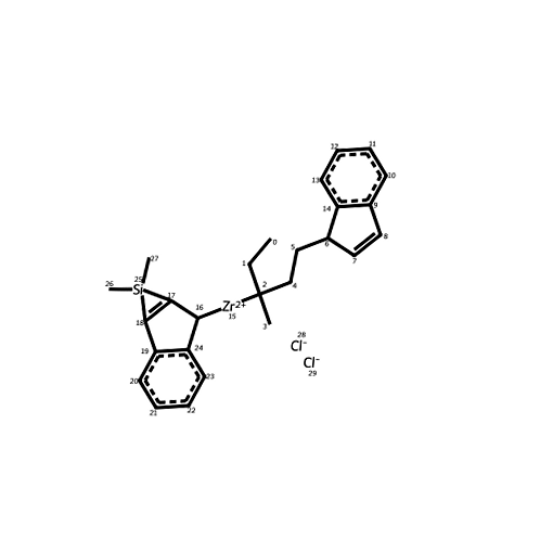 CC[C](C)(CCC1C=Cc2ccccc21)[Zr+2][CH]1C2=C(c3ccccc31)[Si]2(C)C.[Cl-].[Cl-]